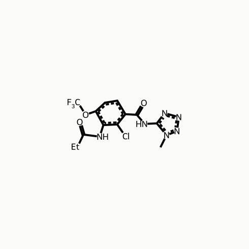 CCC(=O)Nc1c(OC(F)(F)F)ccc(C(=O)Nc2nnnn2C)c1Cl